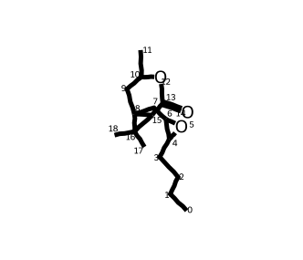 CCCCC1OC1CC12CC(C)OC(=O)C1C2(C)C